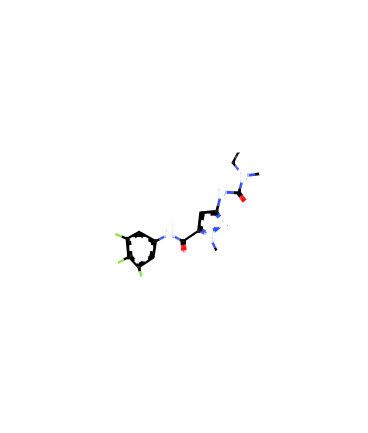 CC(C)CN(C)C(=O)Nc1cc(C(=O)Nc2cc(F)c(F)c(F)c2)n(C)n1